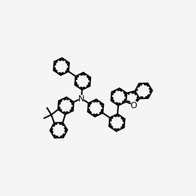 CC1(C)c2ccccc2-c2cc(N(c3ccc(-c4ccccc4-c4cccc5c4oc4ccccc45)cc3)c3cccc(-c4ccccc4)c3)ccc21